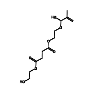 C=C(C)C(O)OCCOC(=O)CCC(=O)OCCO